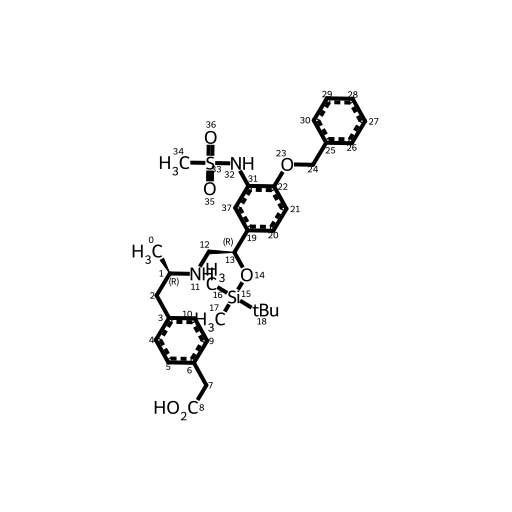 C[C@H](Cc1ccc(CC(=O)O)cc1)NC[C@H](O[Si](C)(C)C(C)(C)C)c1ccc(OCc2ccccc2)c(NS(C)(=O)=O)c1